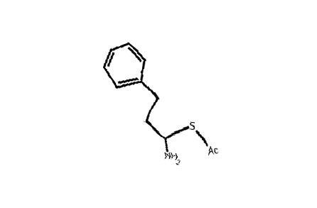 CC(=O)SC(N)[CH]Cc1ccccc1